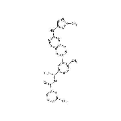 Cc1cccc(C(=O)NC(C)c2ccc(C)c(-c3ccc4nc(Nc5cnn(C)c5)ncc4c3)c2)c1